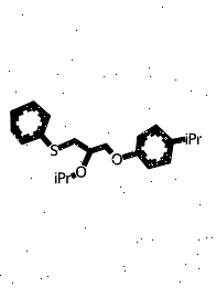 CC(C)OC(COc1ccc(C(C)C)cc1)CSc1ccccc1